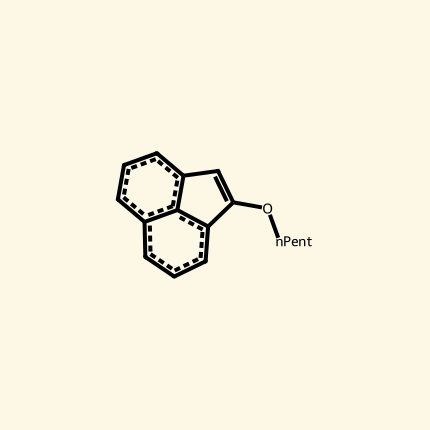 CCCCCOC1=Cc2cccc3cccc1c23